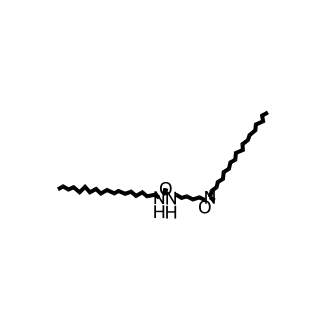 CCCCCCCCCCCCCCCCCCNC(=O)NCCCCCC(=O)N(C)CCCCCCCCCCCCCCCCCC